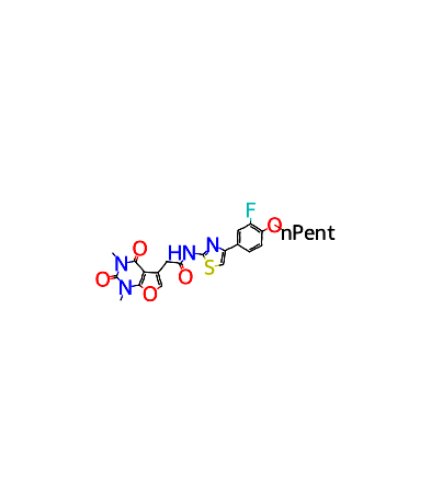 CCCCCOc1ccc(-c2csc(NC(=O)Cc3coc4c3c(=O)n(C)c(=O)n4C)n2)cc1F